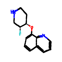 F[C@@H]1CNCC[C@@H]1Oc1cccc2cccnc12